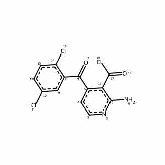 Nc1nccc(C(=O)c2cc(Cl)ccc2Cl)c1C(=O)Cl